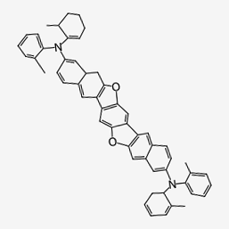 CC1=CC=CCC1N(c1ccc2cc3c(cc2c1)oc1cc2c4c(oc2cc13)CC1C=C(N(C2=CCCCC2C)c2ccccc2C)C=CC1=C4)c1ccccc1C